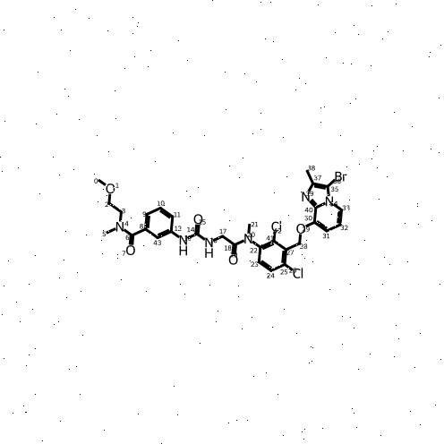 COCCN(C)C(=O)c1cccc(NC(=O)NCC(=O)N(C)c2ccc(Cl)c(COc3cccn4c(Br)c(C)nc34)c2Cl)c1